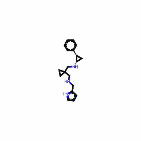 c1ccc([C@H]2C[C@@H]2NCC2(CNCc3ccc[nH]3)CC2)cc1